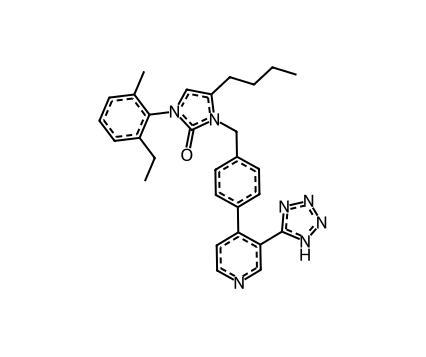 CCCCc1cn(-c2c(C)cccc2CC)c(=O)n1Cc1ccc(-c2ccncc2-c2nnn[nH]2)cc1